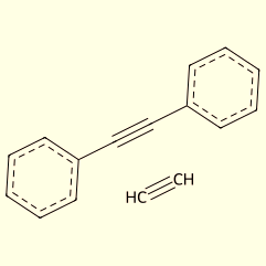 C#C.C(#Cc1ccccc1)c1ccccc1